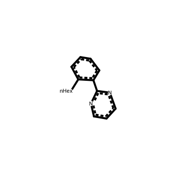 CCCCCCc1ccccc1-c1ncccn1